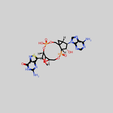 CO[C@H]1[C@H]2OP(=O)(O)OCC34C[C@@H]3[C@@H](n3cnc5c(N)ncnc53)[C@H](O)[C@@H]4[PH](=O)OC[C@H]1O[C@H]2c1snc2c(=O)[nH]c(N)nc12